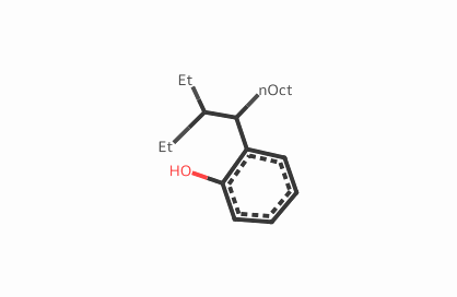 CCCCCCCCC(c1ccccc1O)C(CC)CC